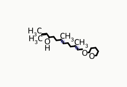 CC(C)=CC(O)CC/C(C)=C/CC/C(C)=C/COC1CCCCO1